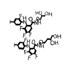 O=C(NOCC(O)CO)c1cc(F)c(F)c(F)c1Nc1ccc(I)cc1F.O=C(NOCCC(O)CO)c1cc(F)c(F)c(F)c1Nc1ccc(I)cc1F